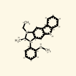 CCN1c2cc3c(cc2N(c2ccccc2OC)[C@H]1C)sc1ccccc13